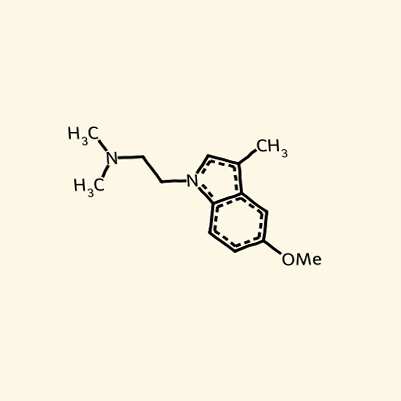 COc1ccc2c(c1)c(C)cn2CCN(C)C